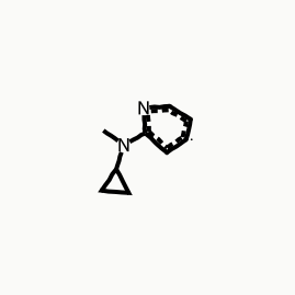 CN(c1c[c]ccn1)C1CC1